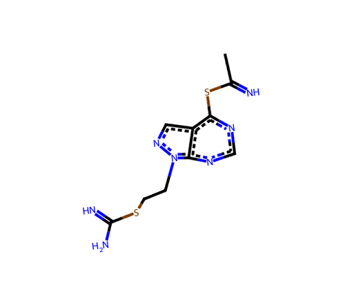 CC(=N)Sc1ncnc2c1cnn2CCSC(=N)N